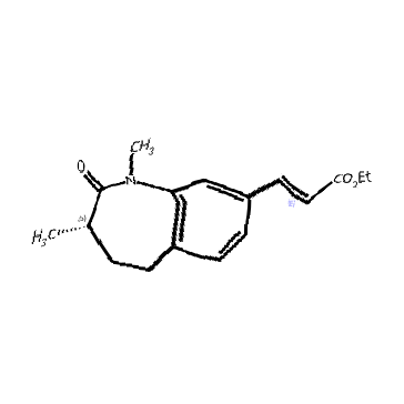 CCOC(=O)/C=C/c1ccc2c(c1)N(C)C(=O)[C@@H](C)CC2